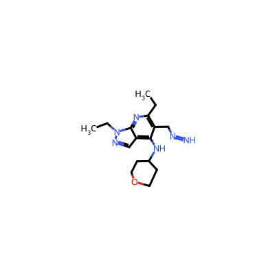 CCc1nc2c(cnn2CC)c(NC2CCOCC2)c1CN=N